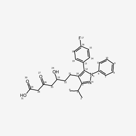 CC(C)c1nn(-c2ccccc2)c(-c2ccc(F)cc2)c1CCC(O)CC(=O)CC(=O)O